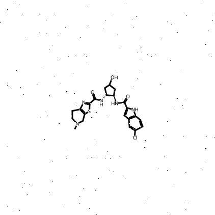 CN1CCc2nc(C(=O)N[C@@H]3CC(O)C[C@H]3NC(=O)c3cc4cc(Cl)ccc4[nH]3)sc2C1